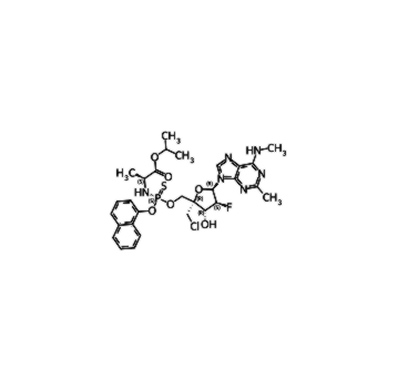 CNc1nc(C)nc2c1ncn2[C@@H]1O[C@](CCl)(CO[P@@](=S)(N[C@@H](C)C(=O)OC(C)C)Oc2cccc3ccccc23)[C@@H](O)[C@@H]1F